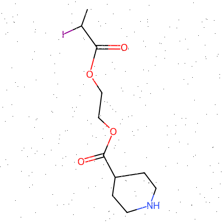 CC(I)C(=O)OCCOC(=O)C1CCNCC1